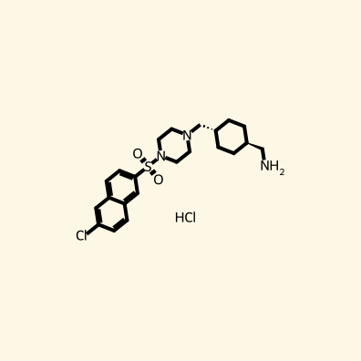 Cl.NC[C@H]1CC[C@H](CN2CCN(S(=O)(=O)c3ccc4cc(Cl)ccc4c3)CC2)CC1